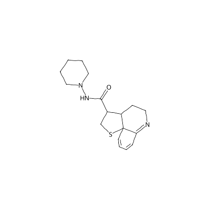 O=C(NN1CCCCC1)C1CSC23C=CC=CC2=NCCC13